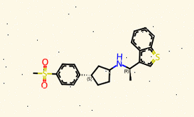 C[C@@H](NC1CC[C@H](c2ccc(S(C)(=O)=O)cc2)C1)c1csc2ccccc12